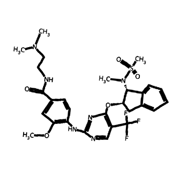 COc1cc(C(=O)NCCN(C)C)ccc1Nc1ncc(C(F)(F)F)c(O[C@@H]2Cc3ccccc3[C@H]2N(C)S(C)(=O)=O)n1